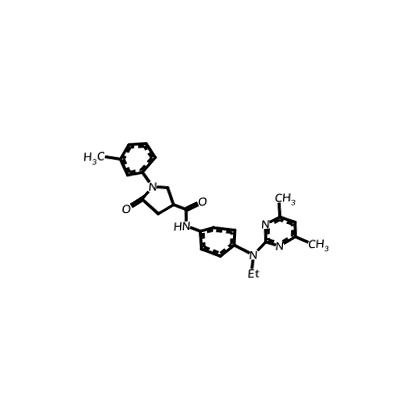 CCN(c1ccc(NC(=O)C2CC(=O)N(c3cccc(C)c3)C2)cc1)c1nc(C)cc(C)n1